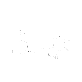 N#CCN(CCn1cnc2c(=O)[nH]cnc21)CCP(=O)(O)O